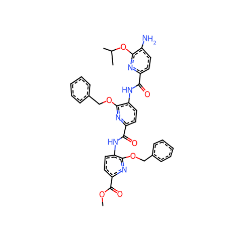 COC(=O)c1ccc(NC(=O)c2ccc(NC(=O)c3ccc(N)c(OC(C)C)n3)c(OCc3ccccc3)n2)c(OCc2ccccc2)n1